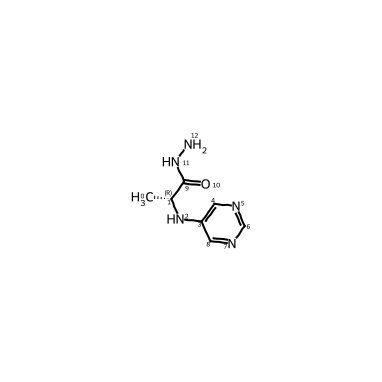 C[C@@H](Nc1cncnc1)C(=O)NN